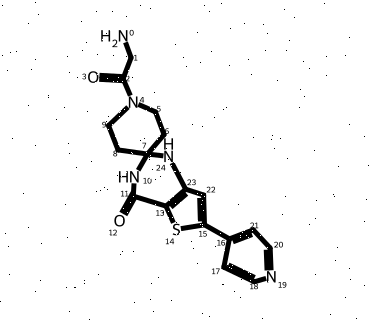 NCC(=O)N1CCC2(CC1)NC(=O)c1sc(-c3ccncc3)cc1N2